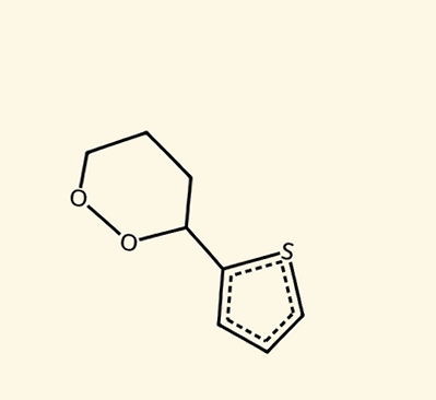 c1csc(C2CCCOO2)c1